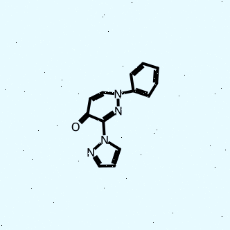 O=c1ccn(-c2ccccc2)nc1-n1cccn1